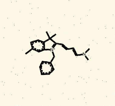 Cc1ccc2c(c1)[N+](Cc1ccccc1)=C(C=CC=CN(C)C)C2(C)C